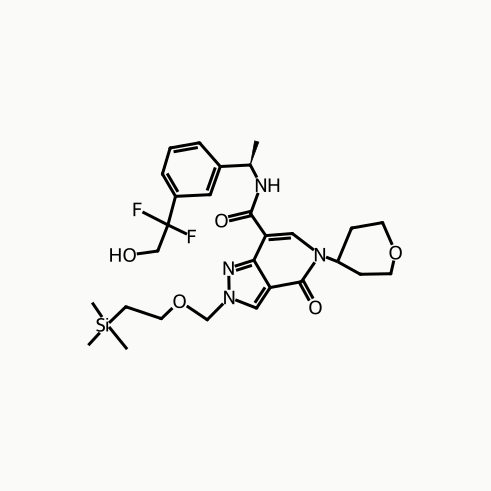 C[C@@H](NC(=O)c1cn(C2CCOCC2)c(=O)c2cn(COCC[Si](C)(C)C)nc12)c1cccc(C(F)(F)CO)c1